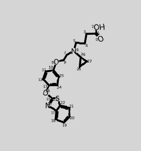 O=C(O)CCCN(CCOc1ccc(Oc2nc3ccccc3s2)cc1)C1CC1